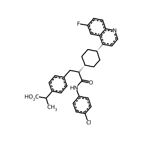 CC(C(=O)O)c1ccc(CC(C(=O)Nc2ccc(Cl)cc2)[C@H]2CC[C@@H](c3ccnc4ccc(F)cc43)CC2)cc1